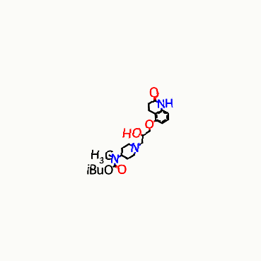 CC(C)COC(=O)N(C)C1CCN(CC(O)COc2cccc3c2CCC(=O)N3)CC1